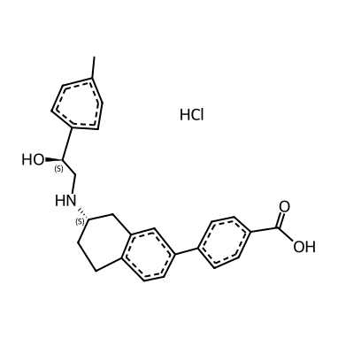 Cc1ccc([C@H](O)CN[C@H]2CCc3ccc(-c4ccc(C(=O)O)cc4)cc3C2)cc1.Cl